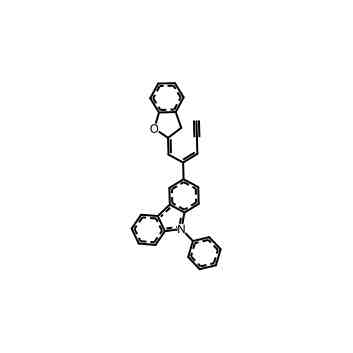 C#C/C=C(\C=C1/Cc2ccccc2O1)c1ccc2c(c1)c1ccccc1n2-c1ccccc1